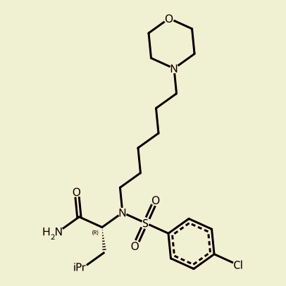 CC(C)C[C@H](C(N)=O)N(CCCCCCN1CCOCC1)S(=O)(=O)c1ccc(Cl)cc1